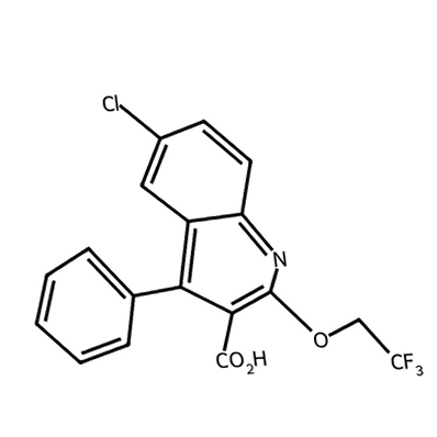 O=C(O)c1c(OCC(F)(F)F)nc2ccc(Cl)cc2c1-c1ccccc1